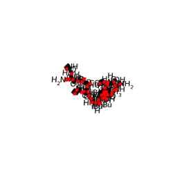 CC[C@H](C)[C@H](NC(=O)CNC(=O)[C@@H](NC(=O)[C@H](Cc1c[nH]c2ccccc12)NC(=O)[C@H](CCC(=O)O)NC(=O)[C@H](CC(C)C)NC(=O)CNC(=O)[C@H](CCCCN)NC(=O)CNC(=O)[C@@H]1CCCN1)[C@@H](C)CC)C(=O)N[C@H](C(=O)N[C@@H](CO)C(=O)N[C@@H](CO)C(=O)N[C@@H](CO)C(=O)NCC(=O)N[C@@H](CC(N)=O)C(=O)N[C@H](C(=O)N[C@@H](Cc1ccc(O)cc1)C(=O)N[C@@H](Cc1ccc(O)cc1)C(=O)N[C@@H](C)C(=O)O)[C@@H](C)O)[C@@H](C)CC